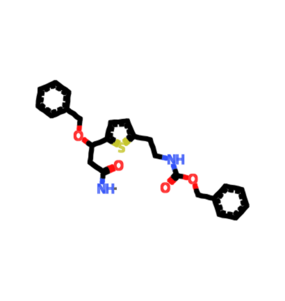 [NH]C(=O)CC(OCc1ccccc1)c1ccc(CCNC(=O)OCc2ccccc2)s1